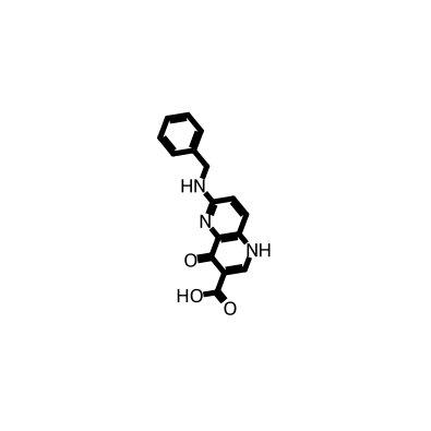 O=C(O)c1c[nH]c2ccc(NCc3ccccc3)nc2c1=O